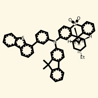 CC[C@@H]1C[C@H]2C[C@H](C)C[C@@H](C1)C21c2ccccc2S(=O)(=O)c2ccc(N(c3cccc(-c4cccc5c4sc4ccccc45)c3)c3ccc4c(c3)C(C)(C)c3ccccc3-4)cc21